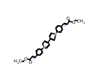 CCOC(=O)/C=C/c1ccc(N2C=CC(C3=CCN(c4ccc(/C=C/C(=O)OCC)cc4)C=C3)=CC2)cc1